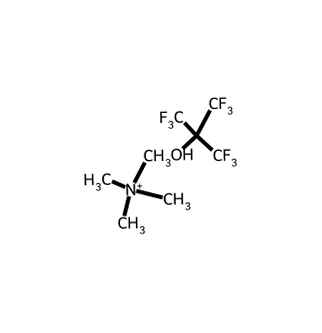 C[N+](C)(C)C.OC(C(F)(F)F)(C(F)(F)F)C(F)(F)F